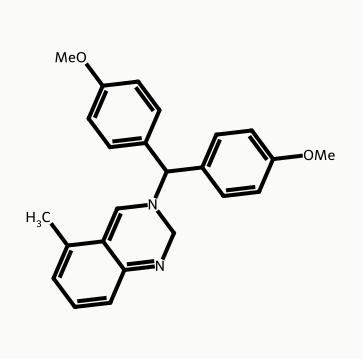 COc1ccc(C(c2ccc(OC)cc2)N2C=c3c(C)cccc3=NC2)cc1